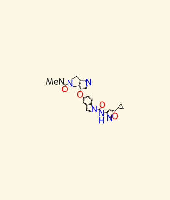 CNC(=O)N1CCc2cncc(Oc3ccc4c(ccn4C(=O)Nc4cc(C5CC5)on4)c3)c2C1